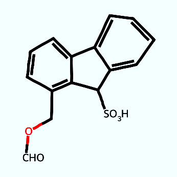 O=COCc1cccc2c1C(S(=O)(=O)O)c1ccccc1-2